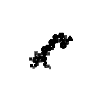 COC[C@H]1C[C@@H](c2nc3ccc4cc5c(cc4c3[nH]2)OCc2cc(-c3cnc([C@@H]4CCCN4C(=O)[C@H](NC(=O)C4CC4)c4ccccc4)[nH]3)ccc2-5)N(C(=O)C(NC(=O)OC)C(C)C)C1